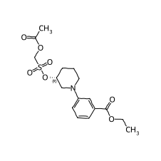 CCOC(=O)c1cccc(N2CCC[C@@H](OS(=O)(=O)COC(C)=O)C2)c1